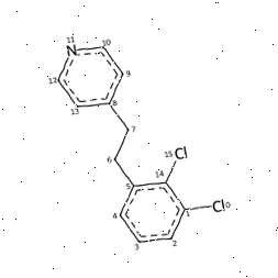 Clc1cccc(CCc2ccncc2)c1Cl